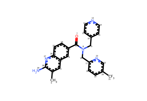 Cc1cc2cc(C(=O)N(Cc3ccncc3)Cc3ccc(C(F)(F)F)cn3)ccc2nc1N